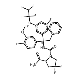 CC(C)Oc1cc([C@@](Cc2ccccc2)(NC(=O)N2CC(F)(F)CC2C(N)=O)c2cc(F)cc(OC(F)(F)C(F)F)c2)ccc1F